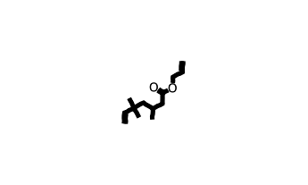 C=CCOC(=O)CC(C)CC(C)(C)C=C